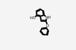 Oc1cccc2[nH]c(Oc3ccccc3)cc12